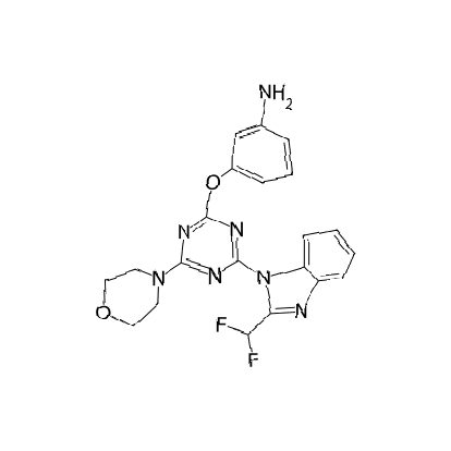 Nc1cccc(Oc2nc(N3CCOCC3)nc(-n3c(C(F)F)nc4ccccc43)n2)c1